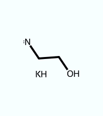 [KH].[N]CCO